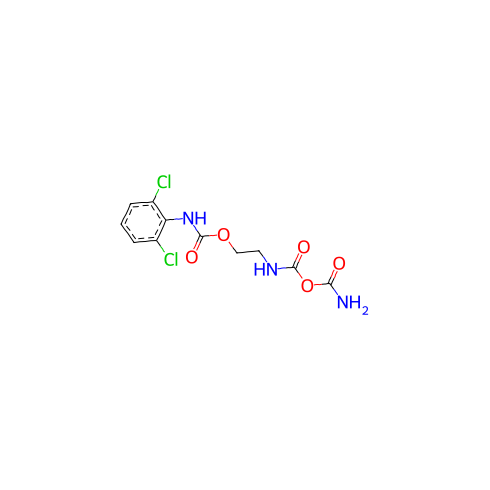 NC(=O)OC(=O)NCCOC(=O)Nc1c(Cl)cccc1Cl